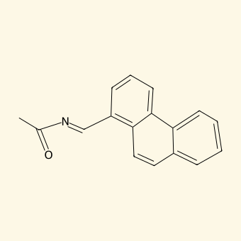 CC(=O)/N=C/c1cccc2c1ccc1ccccc12